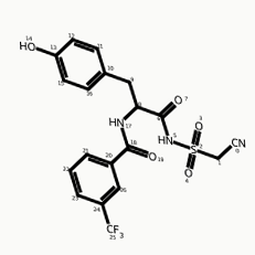 N#CCS(=O)(=O)NC(=O)C(Cc1ccc(O)cc1)NC(=O)c1cccc(C(F)(F)F)c1